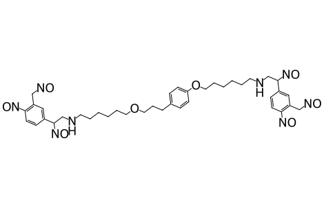 O=NCc1cc(C(CNCCCCCCOCCCc2ccc(OCCCCCCNCC(N=O)c3ccc(N=O)c(CN=O)c3)cc2)N=O)ccc1N=O